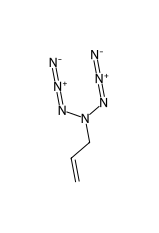 C=CCN(N=[N+]=[N-])N=[N+]=[N-]